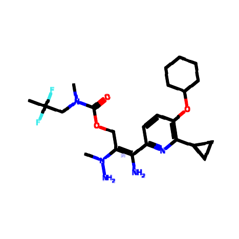 CN(CC(C)(F)F)C(=O)OC/C(=C(/N)c1ccc(OC2CCCCC2)c(C2CC2)n1)N(C)N